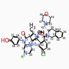 Cc1c(C(=O)N(C2=CN(F)C=CN2)c2ccc(O)cc2)cc(-c2cc(Cl)ccc2C(=O)N2Cc3ccccc3C[C@H]2CN2CCOCC2)n1C